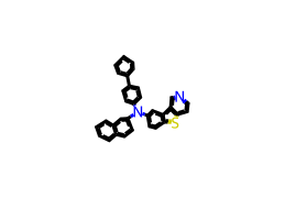 c1ccc(-c2ccc(N(c3ccc4ccccc4c3)c3ccc4sc5ccncc5c4c3)cc2)cc1